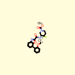 CC(C)(C)OC(=O)N1CCC(F)(F)[C@H](NC(=O)c2nc3cccc(-c4ccccc4OCC(F)(F)F)c3o2)C1